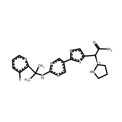 CC(C)(Nc1ncc(-c2ncc(C(C(N)=O)[C@H]3CCCN3)s2)cn1)c1ncccc1F